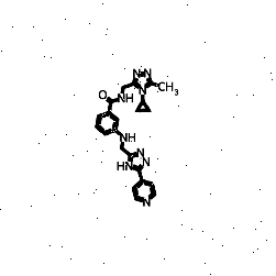 Cc1nnc(CNC(=O)c2cccc(NCc3nnc(-c4ccncc4)[nH]3)c2)n1C1CC1